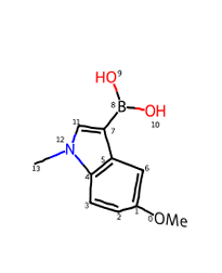 COc1ccc2c(c1)c(B(O)O)cn2C